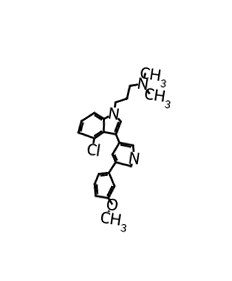 COc1cccc(-c2cncc(-c3cn(CCCN(C)C)c4cccc(Cl)c34)c2)c1